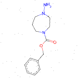 NN1CCCN(C(=O)OCc2ccccc2)CC1